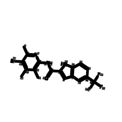 Cc1nc(NC(=O)c2cc3cc(C(F)(F)F)ccc3[nH]2)c(C)c(C)c1Br